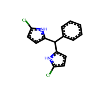 Clc1ccc(C(c2ccccc2)c2ccc(Cl)[nH]2)[nH]1